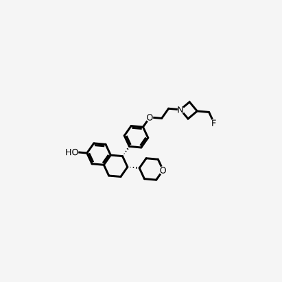 Oc1ccc2c(c1)CC[C@@H](C1CCOCC1)[C@H]2c1ccc(OCCN2CC(CF)C2)cc1